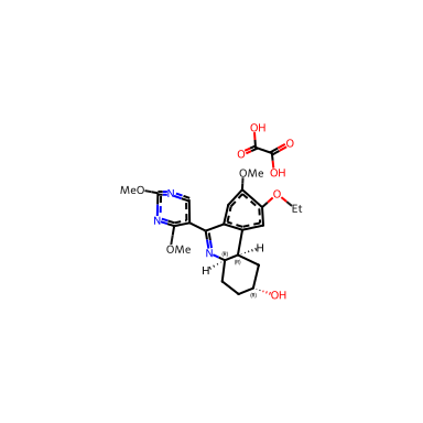 CCOc1cc2c(cc1OC)C(c1cnc(OC)nc1OC)=N[C@@H]1CC[C@@H](O)C[C@H]21.O=C(O)C(=O)O